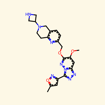 COc1cc2nnc(-c3cc(C)on3)n2nc1OCc1ccc2c(n1)CCN(C1CNC1)C2